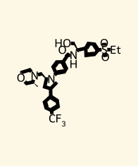 CCS(=O)(=O)c1ccc([C@H](CO)NC(=O)c2ccc(N3CC(c4ccc(C(F)(F)F)cc4)C[C@H]3CN3CCOC[C@H]3C)cc2)cc1